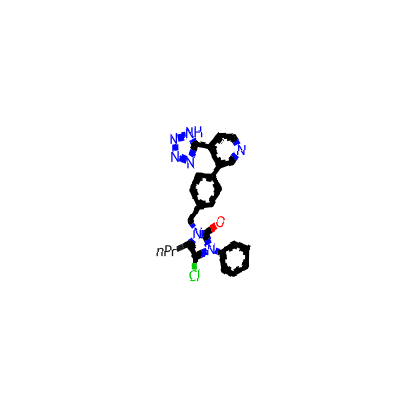 CCCc1c(Cl)n(-c2ccccc2)c(=O)n1Cc1ccc(-c2cnccc2-c2nnn[nH]2)cc1